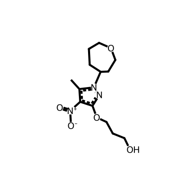 Cc1c([N+](=O)[O-])c(OCCCO)nn1C1CCCOCC1